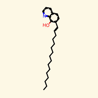 CCCCCCCCCCCCCCC=Cc1ccc2cccnc2c1O